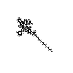 CCCCCCCCCCCCCCOC(=O)c1ccc(OC)c(NC(=O)C(c2nc3ccccc3c(=O)n2NCOc2ccccc2)N2C(=O)OC(C)(C)C2=O)c1